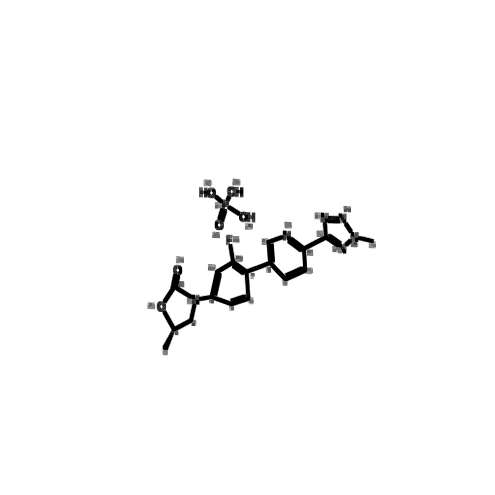 C[C@@H]1CN(c2ccc(-c3ccc(-c4nnn(C)n4)nc3)c(F)c2)C(=O)O1.O=P(O)(O)O